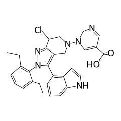 CCc1cccc(CC)c1-n1nc2c(c1-c1cccc3[nH]ccc13)CN(N1C=C(C(=O)O)C=NC1)CC2Cl